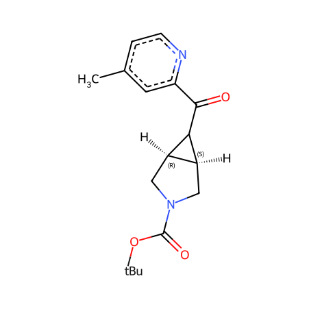 Cc1ccnc(C(=O)C2[C@H]3CN(C(=O)OC(C)(C)C)C[C@@H]23)c1